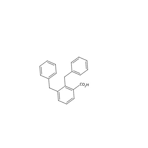 O=C(O)c1cccc(Cc2ccccc2)c1Cc1ccccc1